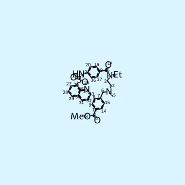 CCN(CCN(C)Cc1ccc(C(=O)OC)cc1)C(=O)c1ccc(NS(=O)(=O)c2cccc3cccnc23)cc1